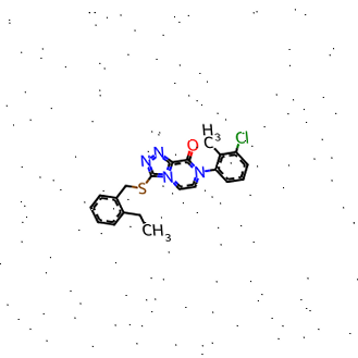 CCc1ccccc1CSc1nnc2c(=O)n(-c3cccc(Cl)c3C)ccn12